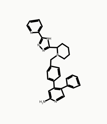 Nc1cc(-c2ccc(CN3CCCCC3c3nnc(-c4ccccn4)[nH]3)cc2)c(-c2ccccc2)cn1